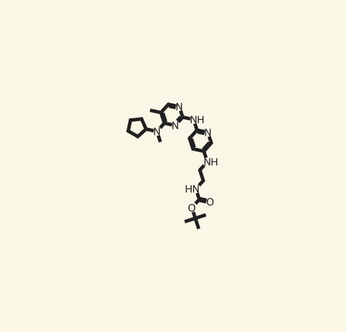 Cc1cnc(Nc2ccc(NCCNC(=O)OC(C)(C)C)cn2)nc1N(C)C1CCCC1